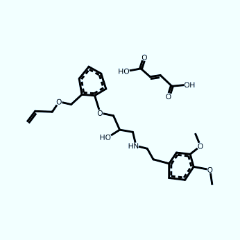 C=CCOCc1ccccc1OCC(O)CNCCc1ccc(OC)c(OC)c1.O=C(O)C=CC(=O)O